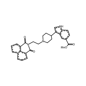 COC(=O)c1ccc2[nH]cc(C3CCN(CCN4C(=O)c5cccc6cccc(c56)C4=O)CC3)c2c1